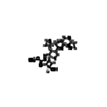 CC(C)(C)OC(=O)N[C@]1(c2ccc(-c3nc4c(cnc5ccnn54)cc3-c3cccs3)cc2)C[C@@](C)(O)C1